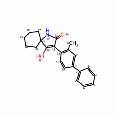 Cc1cc(-c2ccccc2)ccc1C1=C(O)C2(CCCCC2)NC1=O